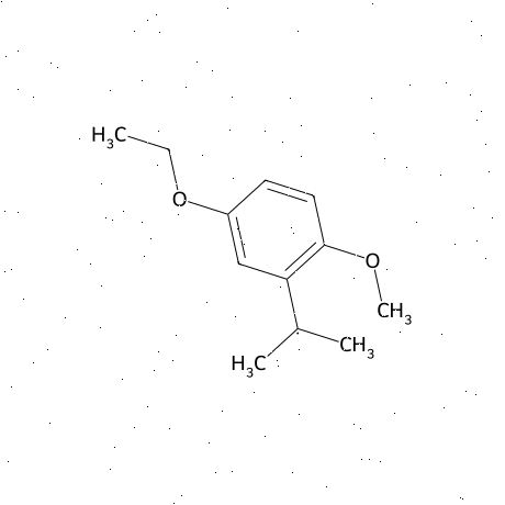 CCOc1ccc(OC)c([C](C)C)c1